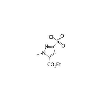 CCOC(=O)c1cc(S(=O)(=O)Cl)nn1C